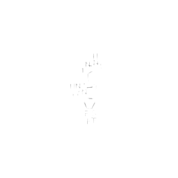 CC(C)Nc1cc(CC2(C)NC(=O)N(c3ccc(SC(F)(F)F)cc3)C2=O)ccn1